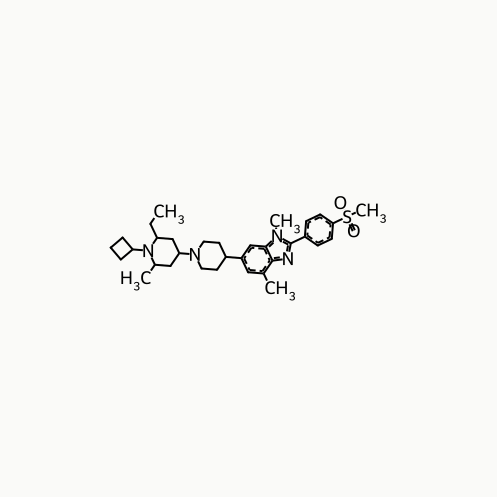 CCC1CC(N2CCC(c3cc(C)c4nc(-c5ccc(S(C)(=O)=O)cc5)n(C)c4c3)CC2)CC(C)N1C1CCC1